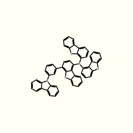 c1cc(-c2ccc(N(c3cccc4c3sc3ccccc34)c3cccc4oc5ccccc5c34)c3c2oc2ccccc23)cc(-n2c3ccccc3c3ccccc32)c1